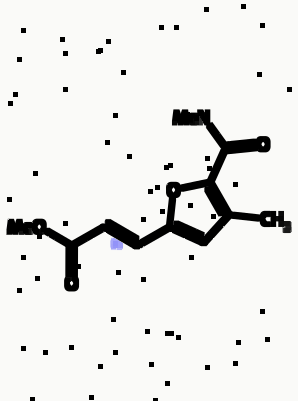 CNC(=O)c1oc(/C=C/C(=O)OC)cc1C